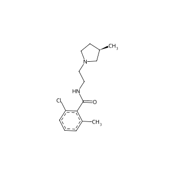 Cc1cccc(Cl)c1C(=O)NCCN1CC[C@@H](C)C1